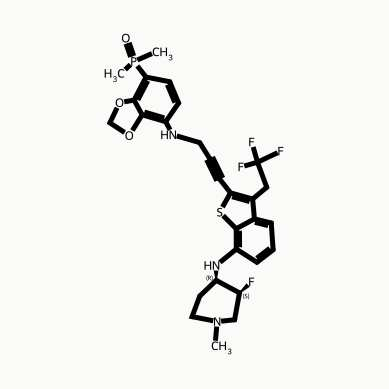 CN1CC[C@@H](Nc2cccc3c(CC(F)(F)F)c(C#CCNc4ccc(P(C)(C)=O)c5c4OCO5)sc23)[C@@H](F)C1